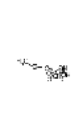 CCCCc1ccc(C#Cc2ccc(CN(C(=O)C(C)C3CCCC3)c3ccc(C(=O)O)c(O)c3)cc2)cc1